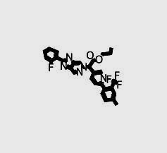 CCCOC(=O)C(c1ccc(-c2ccc(C)cc2C(F)(F)F)nc1)n1cc2nc(-c3ccccc3F)nc-2cn1